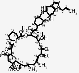 C=CCn1ccc2cc(NC3CCC(C=C(C)C4OC(=O)C5CCCCN5C(=O)C(=O)C5(O)OC(C(OC)CC(C)C/C(C)=C/C(CC)C(=O)CC(O)C4C)C(OC)CC5C)CC3O)ccc21